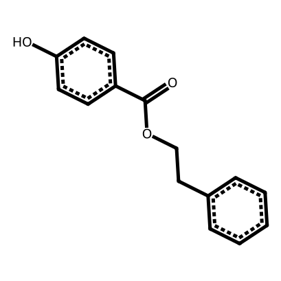 O=C(OCCc1ccccc1)c1ccc(O)cc1